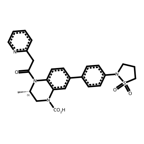 C[C@H]1CN(C(=O)O)c2cc(-c3ccc(N4CCCS4(=O)=O)cc3)ccc2N1C(=O)Cc1ccccn1